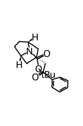 CC(C)(C)OC(=O)N1[C@@H]2CC[C@H]1C[C@@H](CC(=O)c1ccccc1)C2